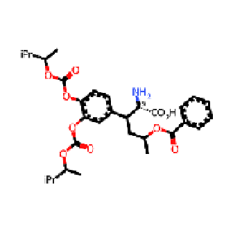 CC(CC(c1ccc(OC(=O)OC(C)C(C)C)c(OC(=O)OC(C)C(C)C)c1)[C@H](N)C(=O)O)OC(=O)c1ccccc1